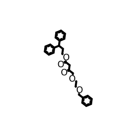 O=C(COCCOCc1ccccc1)CC(=O)OCCC(c1ccccc1)c1ccccc1